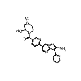 CCN1CCN(C(=O)c2ccc(-c3cnc4c(-c5ccccn5)c(N)nn4c3)nc2)C(O)C1